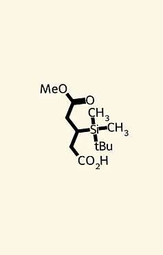 COC(=O)CC(CC(=O)O)[Si](C)(C)C(C)(C)C